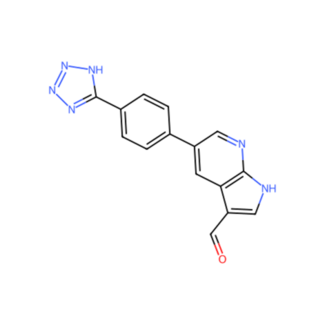 O=Cc1c[nH]c2ncc(-c3ccc(-c4nnn[nH]4)cc3)cc12